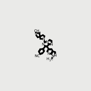 CN1CCC2(CCN(c3nc(-c4ccc(C#N)cc4)c(-c4cnc5c(cnn5C)c4)c4nccn34)C2)C1